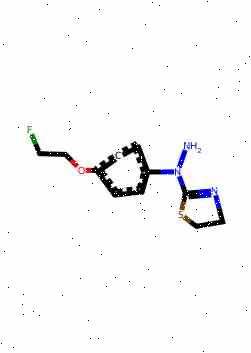 NN(C1=NCCS1)c1ccc(OCCF)cc1